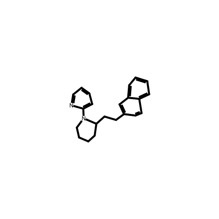 c1ccc(N2CCCCC2CCc2ccc3ccccc3c2)nc1